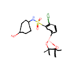 CC1(C)OB(c2ccc(Cl)c(S(=O)(=O)NC3CCC(O)CC3)c2)OC1(C)C